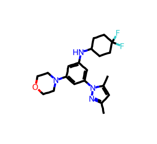 Cc1cc(C)n(-c2cc(NC3CCC(F)(F)CC3)cc(N3CCOCC3)c2)n1